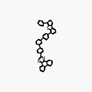 c1ccc(-c2cccc3c2sc2c(-c4ccc(-c5cccc(-c6ccc(-c7cnc8c9ccccc9c9ccccc9c8n7)cc6)c5)cc4)cccc23)cc1